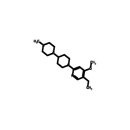 CCc1cnc(N2CCC(N3CCN(C)CC3)CC2)cc1OC